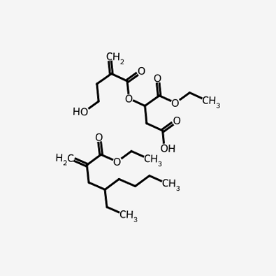 C=C(CC(CC)CCCC)C(=O)OCC.C=C(CCO)C(=O)OC(CC(=O)O)C(=O)OCC